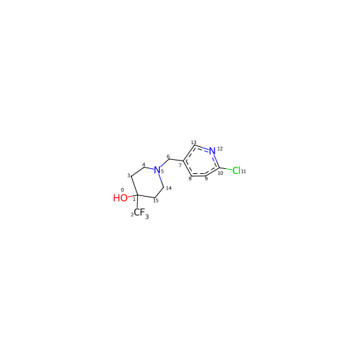 OC1(C(F)(F)F)CCN(Cc2ccc(Cl)nc2)CC1